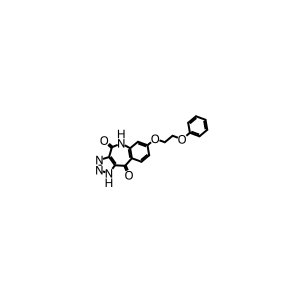 O=c1[nH]c2cc(OCCOc3ccccc3)ccc2c(=O)c2[nH]nnc12